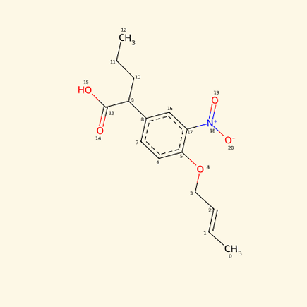 CC=CCOc1ccc(C(CCC)C(=O)O)cc1[N+](=O)[O-]